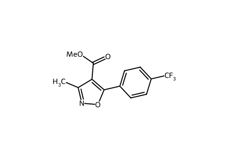 COC(=O)c1c(C)noc1-c1ccc(C(F)(F)F)cc1